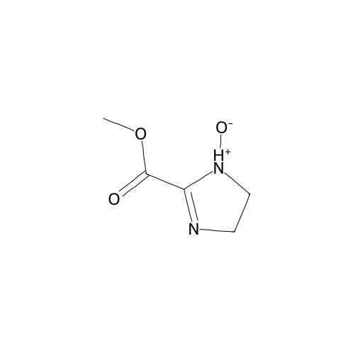 COC(=O)C1=NCC[NH+]1[O-]